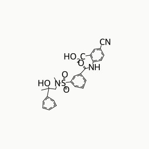 CN(CC(C)(O)c1ccccc1)S(=O)(=O)c1cccc(C(=O)Nc2ccc(C#N)cc2C(=O)O)c1